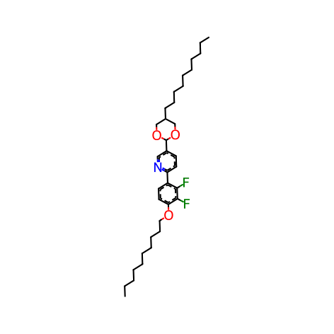 CCCCCCCCCCOc1ccc(-c2ccc(C3OCC(CCCCCCCCCC)CO3)cn2)c(F)c1F